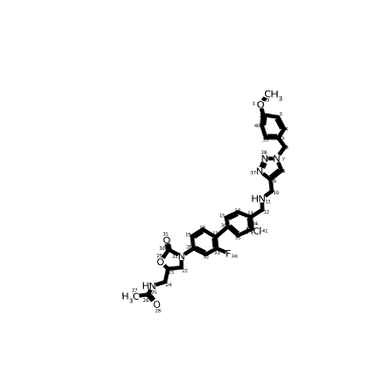 COc1ccc(Cn2cc(CNCc3ccc(-c4ccc(N5CC(CNC(C)=O)OC5=O)cc4F)cc3)nn2)cc1.Cl